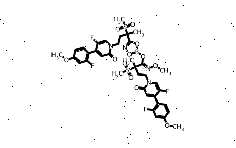 CO/N=C(\OB1ON=C(C(C)(CCn2cc(F)c(-c3ccc(OC)cc3F)cc2=O)S(C)(=O)=O)O1)C(C)(CCn1cc(F)c(-c2ccc(OC)cc2F)cc1=O)S(C)(=O)=O